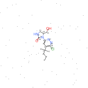 CCCC(C)(C)c1cc(N2C(=O)NCC2CO)nnc1Cl